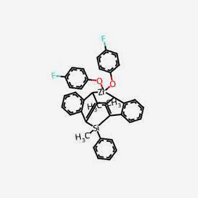 CC1=C2c3ccccc3[CH]1[Zr]([O]c1ccc(F)cc1)([O]c1ccc(F)cc1)[CH]1C(C)=C(c3ccccc31)[Si]2(C)c1ccccc1